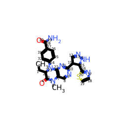 CCC1C(=O)N(C)c2cnc(C3C=NNC3c3nccs3)nc2N1c1ccc(C(N)=O)cc1